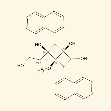 OC[C@@H](O)[C@]1(O)C(c2cccc3ccccc23)[C@]2(O)C(O)C(c3cccc4ccccc34)[C@@]21O